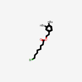 CCCCc1ccc(CCOC(=O)CCCCCCCBr)cc1CCCC